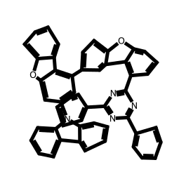 c1ccc(-c2nc(-c3ccccc3)nc(-c3cccc4oc5ccc(-c6cc(-n7c8ccccc8c8ccccc87)cc7oc8ccccc8c67)cc5c34)n2)cc1